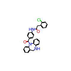 O=C(Cc1ccccc1Cl)Nc1ccc(C(=O)N2c3ccccc3CNc3ccccc32)cc1